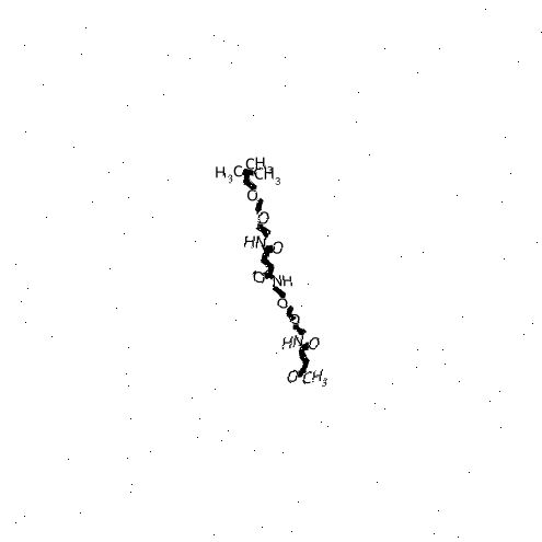 CC(=O)CCC(=O)NCCOCCOCCNC(=O)CCC(=O)NCCOCCOCCC(C)(C)C